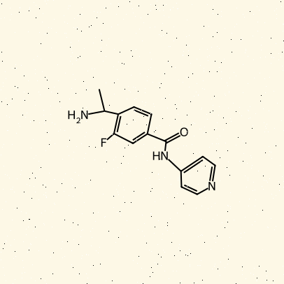 CC(N)c1ccc(C(=O)Nc2ccncc2)cc1F